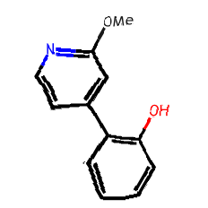 COc1cc(-c2[c]cccc2O)ccn1